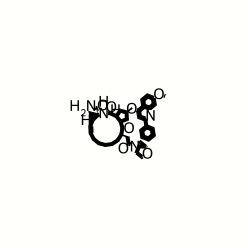 COc1ccc2c(O[C@H]3CC4C(=O)[C@@H](CC(=O)N5CC6CC5CO6)CCCCC/C=C\[C@@H]5C[C@@]5(C(N)=O)NC(=O)[C@@H]4C3)cc(-c3ccccc3)nc2c1